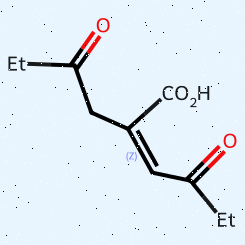 CCC(=O)/C=C(/CC(=O)CC)C(=O)O